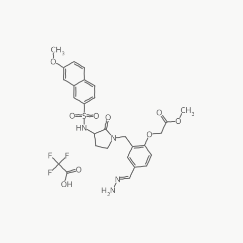 COC(=O)COc1ccc(C=NN)cc1CN1CCC(NS(=O)(=O)c2ccc3ccc(OC)cc3c2)C1=O.O=C(O)C(F)(F)F